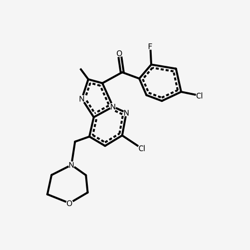 Cc1nc2c(CN3CCOCC3)cc(Cl)nn2c1C(=O)c1ccc(Cl)cc1F